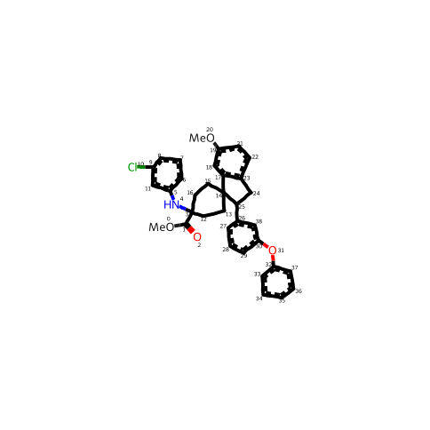 COC(=O)C1(Nc2cccc(Cl)c2)CCC2(CC1)c1cc(OC)ccc1CC2c1cccc(Oc2ccccc2)c1